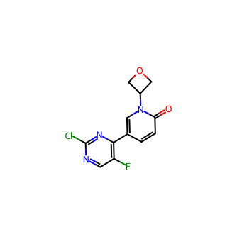 O=c1ccc(-c2nc(Cl)ncc2F)cn1C1COC1